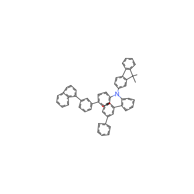 CC1(C)c2ccccc2-c2ccc(N(c3ccc(-c4cccc(-c5cccc6ccccc56)c4)cc3)c3ccccc3-c3cccc(-c4ccccc4)c3)cc21